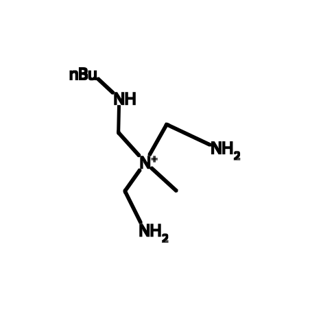 CCCCNC[N+](C)(CN)CN